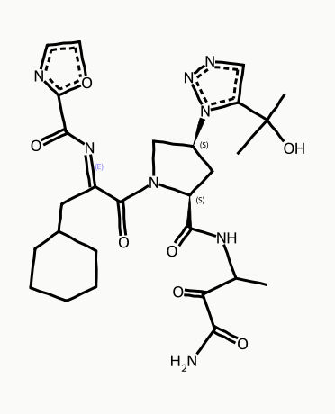 CC(NC(=O)[C@@H]1C[C@H](n2nncc2C(C)(C)O)CN1C(=O)/C(CC1CCCCC1)=N/C(=O)c1ncco1)C(=O)C(N)=O